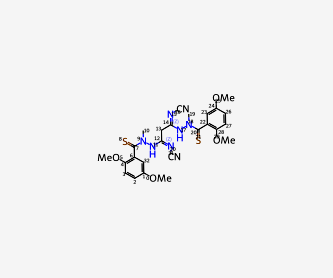 COc1ccc(OC)c(C(=S)N(C)N/C(C/C(=N/C#N)NN(C)C(=S)c2cc(OC)ccc2OC)=N\C#N)c1